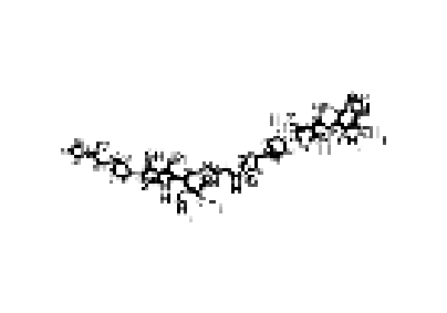 Cc1c(-c2[nH]c3sc([C@@H]4CC5CC4CN5CCS(=O)(=O)NCc4nc5c(C)c(C)c(-c6[nH]c7sc([C@@H]8CC9CC8CN9CC(=O)N8CCC8)c(C)c7c6C(C)C)cn5n4)c(C)c3c2C(C)C)cn2ncnc2c1C